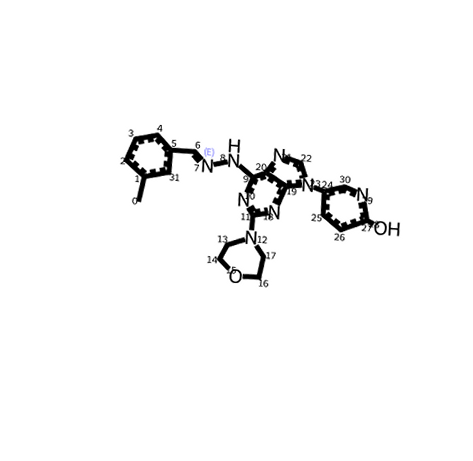 Cc1cccc(/C=N/Nc2nc(N3CCOCC3)nc3c2ncn3-c2ccc(O)nc2)c1